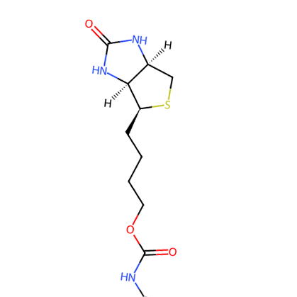 CCNC(=O)OCCCC[C@@H]1SC[C@@H]2NC(=O)N[C@@H]21